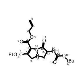 C=CCOC(=O)C1=C(C(=O)OCC)CN2C[C@H](NC(=O)OC(C)(C)C)C(=O)N12